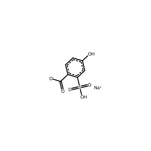 O=C([O-])c1ccc(O)cc1S(=O)(=O)O.[Na+]